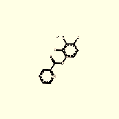 COc1c(Cl)ccc(OC(=O)c2ccccn2)c1F